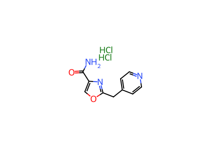 Cl.Cl.NC(=O)c1coc(Cc2ccncc2)n1